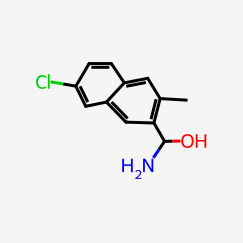 Cc1cc2ccc(Cl)cc2cc1C(N)O